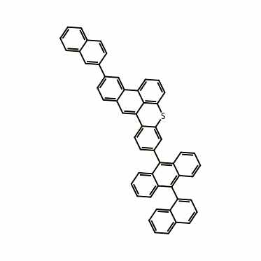 c1ccc2cc(-c3ccc4cc5c6c(cccc6c4c3)Sc3cc(-c4c6ccccc6c(-c6cccc7ccccc67)c6ccccc46)ccc3-5)ccc2c1